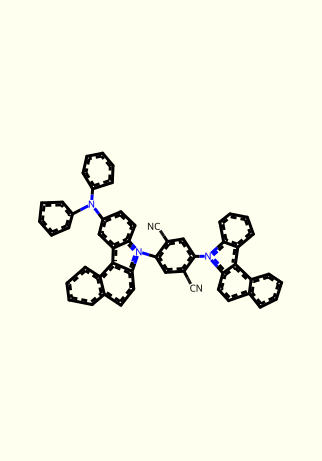 N#Cc1cc(-n2c3ccc(N(c4ccccc4)c4ccccc4)cc3c3c4ccccc4ccc32)c(C#N)cc1-n1c2ccccc2c2c3ccccc3ccc21